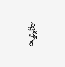 O=C(Cc1cnn(CCN2CCCCC2)c1CF)NCc1ccc(F)cc1Cl